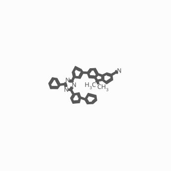 CC1(C)c2ccc(C#N)cc2-c2ccc(-c3cccc(-c4nc(-c5ccccc5)nc(-c5cccc(-c6ccccc6)c5)n4)c3)cc21